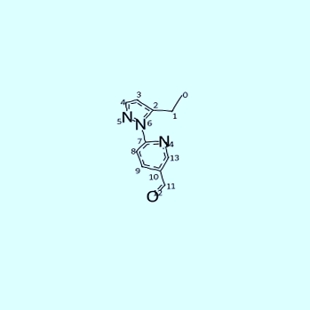 CCc1ccnn1-c1ccc(C=O)cn1